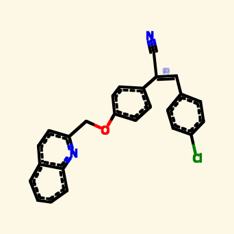 N#C/C(=C/c1ccc(Cl)cc1)c1ccc(OCc2ccc3ccccc3n2)cc1